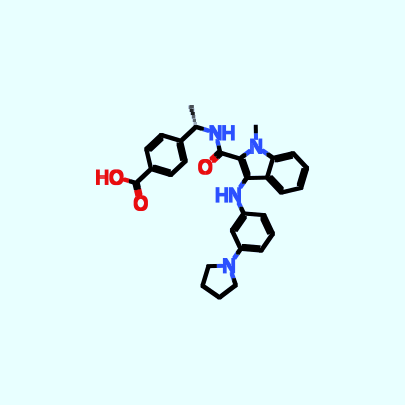 C[C@H](NC(=O)c1c(Nc2cccc(N3CCCC3)c2)c2ccccc2n1C)c1ccc(C(=O)O)cc1